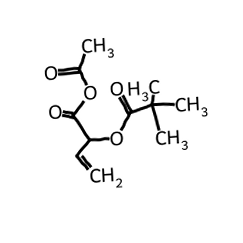 C=CC(OC(=O)C(C)(C)C)C(=O)OC(C)=O